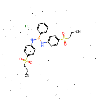 Cl.N#CCCS(=O)(=O)c1ccc(NP(Nc2ccc(S(=O)(=O)CCC#N)cc2)c2ccccc2)cc1